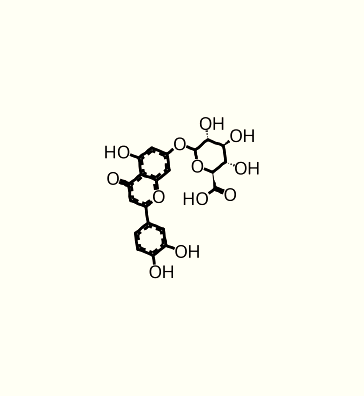 O=C(O)[C@H]1OC(Oc2cc(O)c3c(=O)cc(-c4ccc(O)c(O)c4)oc3c2)[C@H](O)[C@@H](O)[C@@H]1O